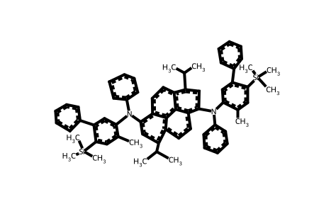 Cc1cc([Si](C)(C)C)c(-c2ccccc2)cc1N(c1ccccc1)c1cc(C(C)C)c2ccc3c(N(c4ccccc4)c4cc(-c5ccccc5)c([Si](C)(C)C)cc4C)cc(C(C)C)c4ccc1c2c43